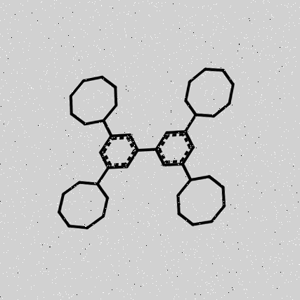 [c]1c(-c2[c]c(C3CCCCCCC3)cc(C3CCCCCCC3)c2)cc(C2CCCCCCC2)cc1C1CCCCCCC1